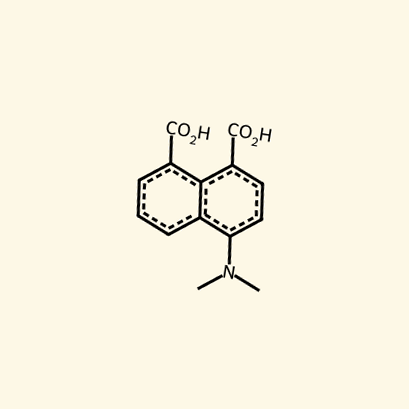 CN(C)c1ccc(C(=O)O)c2c(C(=O)O)cccc12